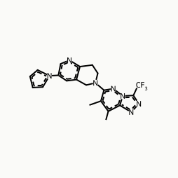 Cc1c(N2CCc3ncc(-n4cccc4)cc3C2)nn2c(C(F)(F)F)nnc2c1C